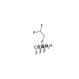 FCC(F)F.O=C(O)F.O=C(O)F.O=C(O)F